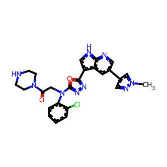 Cn1cc(-c2cnc3[nH]cc(-c4nnc(N(CC(=O)N5CCNCC5)c5ccccc5Cl)o4)c3c2)cn1